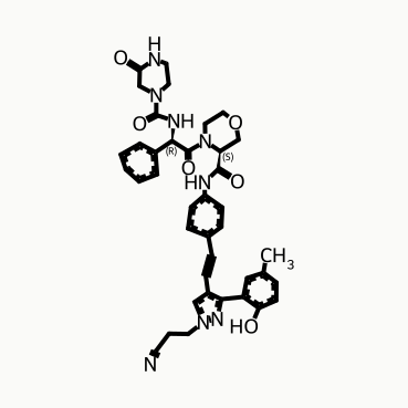 Cc1ccc(O)c(-c2nn(CCC#N)cc2C#Cc2ccc(NC(=O)[C@@H]3COCCN3C(=O)[C@H](NC(=O)N3CCNC(=O)C3)c3ccccc3)cc2)c1